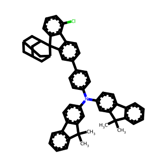 CC1(C)c2ccccc2-c2ccc(N(c3ccc(-c4ccc5c(c4)C4(c6cccc(Cl)c6-5)C5CC6CC(C5)CC4C6)cc3)c3ccc4c(c3)C(C)(C)c3ccccc3-4)cc21